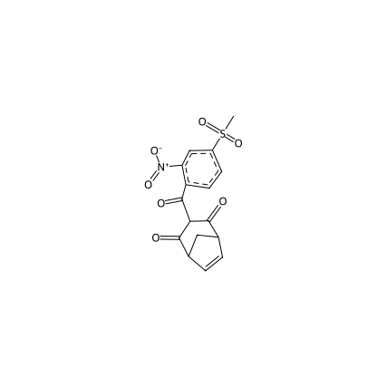 CS(=O)(=O)c1ccc(C(=O)C2C(=O)C3C=CC(C3)C2=O)c([N+](=O)[O-])c1